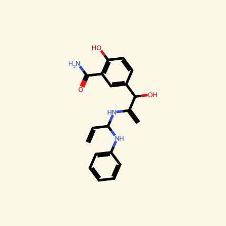 C=CC(NC(=C)C(O)c1ccc(O)c(C(N)=O)c1)Nc1ccccc1